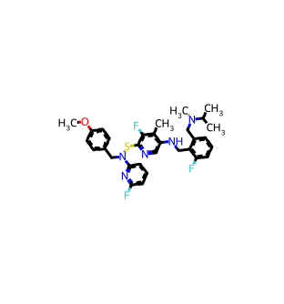 COc1ccc(CN(Sc2ncc(NCc3c(F)cccc3CN(C)C(C)C)c(C)c2F)c2cccc(F)n2)cc1